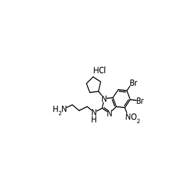 Cl.NCCCNc1nc2c([N+](=O)[O-])c(Br)c(Br)cc2n1C1CCCC1